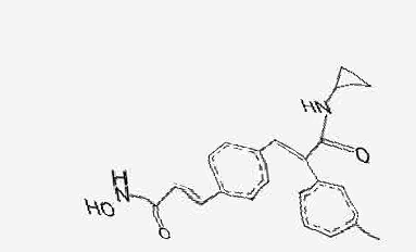 Cc1cccc(/C(=C\c2ccc(/C=C/C(=O)NO)cc2)C(=O)NC2CC2)c1